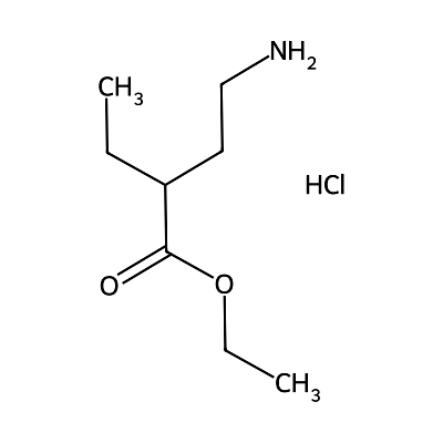 CCOC(=O)C(CC)CCN.Cl